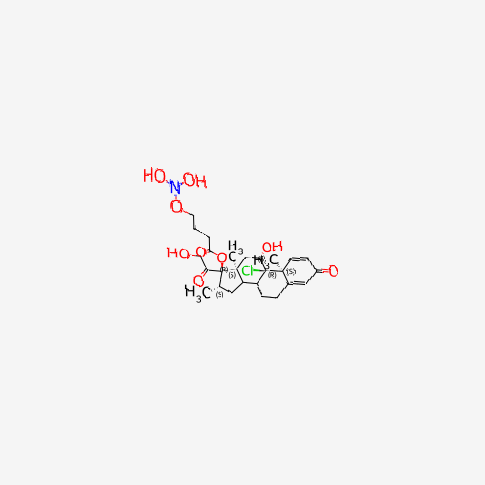 C[C@H]1CC2C3CCC4=CC(=O)C=C[C@]4(C)[C@@]3(Cl)[C@@H](O)C[C@]2(C)[C@@]1(OC(=O)CCCON(O)O)C(=O)CO